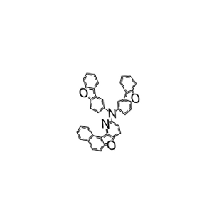 c1ccc2c(c1)ccc1oc3ccc(N(c4ccc5oc6ccccc6c5c4)c4ccc5oc6ccccc6c5c4)nc3c12